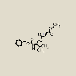 CCOC(=O)/C=C/C(=O)OC[C@H](NC(=O)OCc1ccccc1)C(C)C